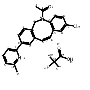 CC(=O)N1Cc2ccc(-c3cccc(C)n3)cc2/C=C\c2cc(Cl)ccc21.O=C(O)C(F)(F)F